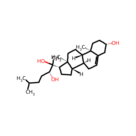 CC(C)CC[C@@H](O)C(C)(O)[C@H]1CC[C@H]2[C@@H]3CC=C4C[C@@H](O)CC[C@]4(C)[C@H]3CC[C@]12C